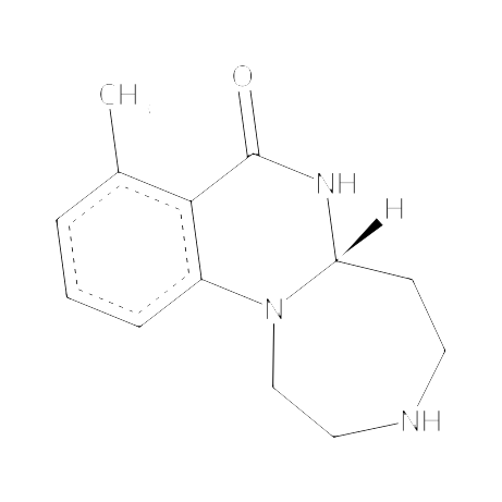 Cc1cccc2c1C(=O)N[C@@H]1CCNCCN21